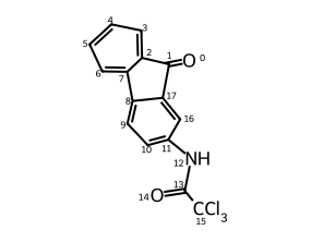 O=C1c2ccccc2-c2ccc(NC(=O)C(Cl)(Cl)Cl)cc21